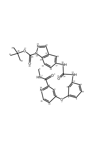 CNC(=O)c1cc(Oc2cccc(NC(=O)Nc3ccc4c(cnn4C(=O)OC(C)(C)C)c3)c2)ccn1